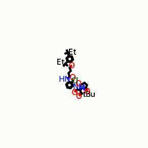 CCC(C)(C)c1ccc(OCCCC(=O)Nc2cccc(NC(=O)C(C(=O)C(C)(C)C)N3C(=O)CCC3=O)c2Cl)c(C(C)(C)CC)c1